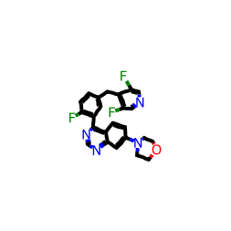 Fc1ccc(Cc2c(F)cncc2F)cc1-c1ncnc2cc(N3CCOCC3)ccc12